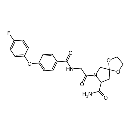 NC(=O)C1CC2(CN1C(=O)CNC(=O)c1ccc(Oc3ccc(F)cc3)cc1)OCCO2